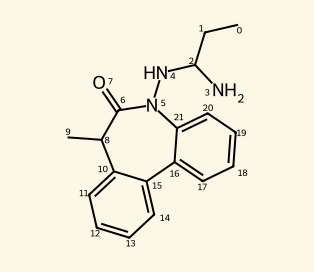 CCC(N)NN1C(=O)C(C)c2ccccc2-c2ccccc21